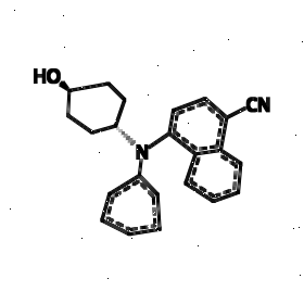 N#Cc1ccc(N(c2ccccc2)[C@H]2CC[C@H](O)CC2)c2ccccc12